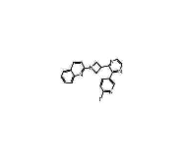 Fc1ccc(-c2nccnc2C2CN(c3ccc4ccccc4n3)C2)cn1